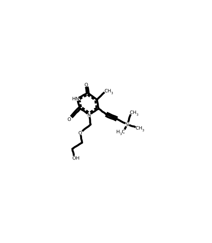 Cc1c(C#C[Si](C)(C)C)n(COCCO)c(=O)[nH]c1=O